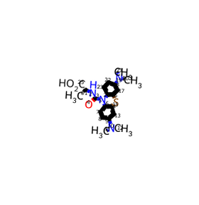 CC(NC(=O)N1c2ccc(N(C)C)cc2Sc2cc(N(C)C)ccc21)C(=O)O